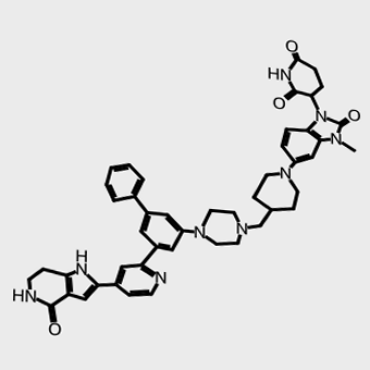 Cn1c(=O)n(C2CCC(=O)NC2=O)c2ccc(N3CCC(CN4CCN(c5cc(-c6ccccc6)cc(-c6cc(-c7cc8c([nH]7)CCNC8=O)ccn6)c5)CC4)CC3)cc21